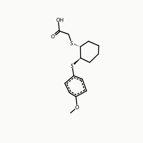 COc1ccc(S[C@@H]2CCCC[C@H]2SCC(=O)O)cc1